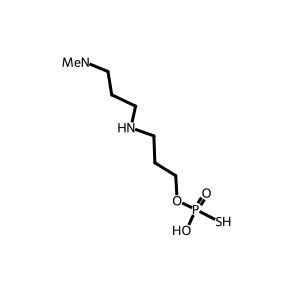 CNCCCNCCCOP(=O)(O)S